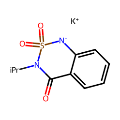 CC(C)N1C(=O)c2ccccc2[N-]S1(=O)=O.[K+]